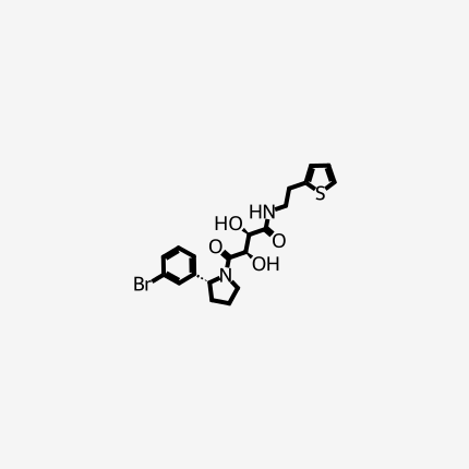 O=C(NCCc1cccs1)[C@H](O)[C@@H](O)C(=O)N1CCC[C@@H]1c1cccc(Br)c1